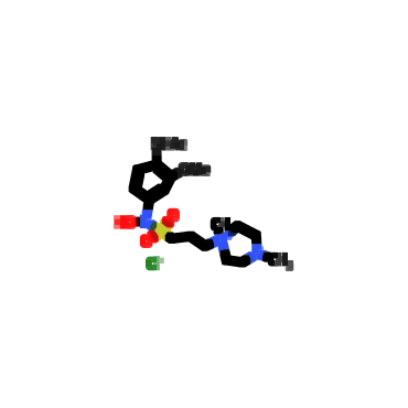 COc1cc(N(O)S(=O)(=O)CCC[N+]2(C)CCN(C)CC2)ccc1NC(C)=O.[Cl-]